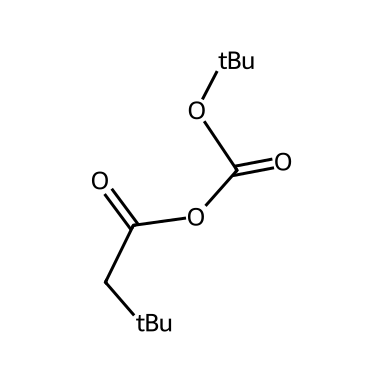 CC(C)(C)CC(=O)OC(=O)OC(C)(C)C